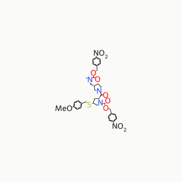 COc1ccc(CS[C@H]2C[C@@H](C(=O)N3CC[C@H](CN(C)C(=O)OCc4ccc([N+](=O)[O-])cc4)C3)N(C(=O)OCc3ccc([N+](=O)[O-])cc3)C2)cc1